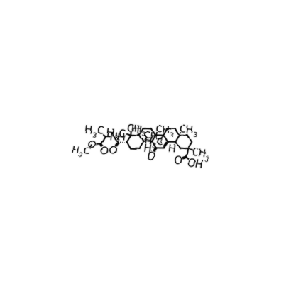 COC(=O)C(C)NC(=O)[C@H]1CC[C@]2(C)[C@H]3C(=O)C=C4[C@@H]5C[C@@](C)(C(=O)O)CC[C@]5(C)CC[C@@]4(C)[C@]3(C)CC[C@H]2C1(C)C